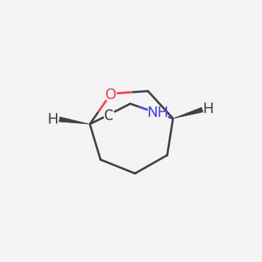 C1C[C@H]2CO[C@@H](C1)CCN2